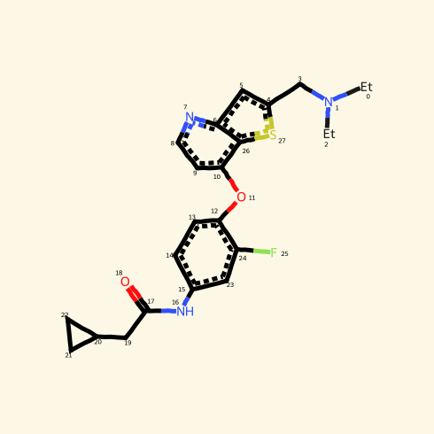 CCN(CC)Cc1cc2nccc(Oc3ccc(NC(=O)CC4CC4)cc3F)c2s1